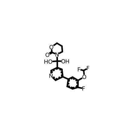 O=C1OCCCN1C(O)(O)c1cncc(-c2ccc(F)c(OC(F)F)c2)c1